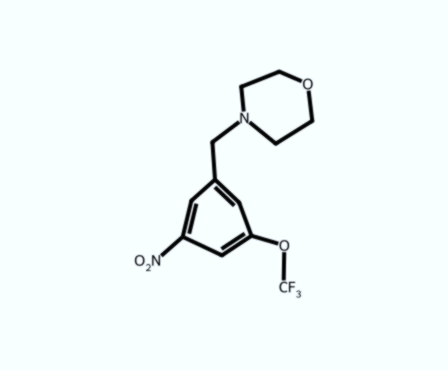 O=[N+]([O-])c1cc(CN2CCOCC2)cc(OC(F)(F)F)c1